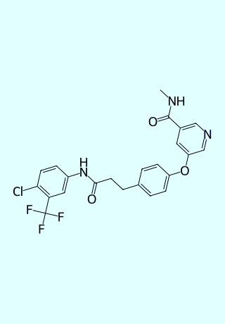 CNC(=O)c1cncc(Oc2ccc(CCC(=O)Nc3ccc(Cl)c(C(F)(F)F)c3)cc2)c1